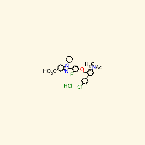 CC(=O)N(C)c1ccc(-c2ccc(Cl)cc2)c(COc2ccc(-c3nc4cc(C(=O)O)ccc4n3C3CCCCC3)c(F)c2)c1.Cl